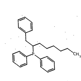 CCCCCCC(Cc1ccccc1)P(c1ccccc1)c1ccccc1